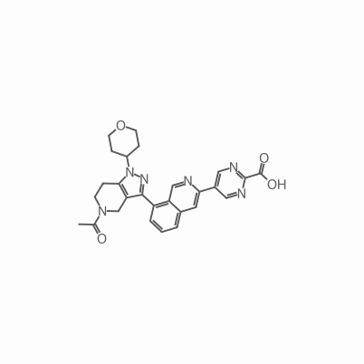 CC(=O)N1CCc2c(c(-c3cccc4cc(-c5cnc(C(=O)O)nc5)ncc34)nn2C2CCOCC2)C1